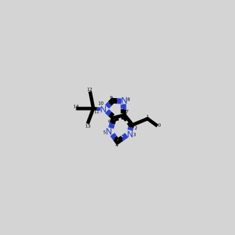 CCc1ncnc2c1ncn2C(C)(C)C